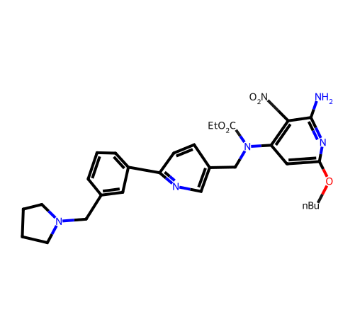 CCCCOc1cc(N(Cc2ccc(-c3cccc(CN4CCCC4)c3)nc2)C(=O)OCC)c([N+](=O)[O-])c(N)n1